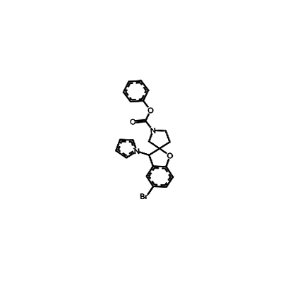 O=C(Oc1ccccc1)N1CCC2(C1)Oc1ccc(Br)cc1C2n1cccc1